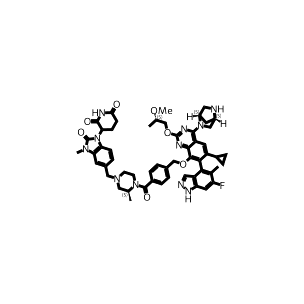 CO[C@@H](C)COc1nc(N2C[C@@H]3C[C@H]2CN3)c2cc(C3CC3)c(-c3c(C)c(F)cc4[nH]ncc34)c(OCc3ccc(C(=O)N4CCN(Cc5ccc6c(c5)n(C)c(=O)n6C5CCC(=O)NC5=O)C[C@@H]4C)cc3)c2n1